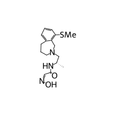 CSc1cccc2c1CN(C[C@H](C)NC(=O)/C=N\O)CCC2